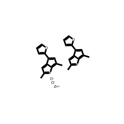 CC1=PC2=C(C)C=C(c3ccco3)C2=C1.CC1=PC2=C(C)C=C(c3ccco3)C2=C1.[Cl-].[Cl-].[Zr+2]